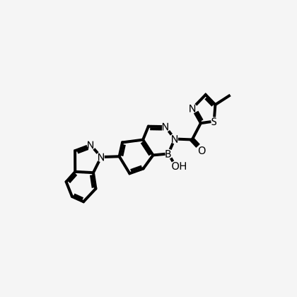 Cc1cnc(C(=O)N2N=Cc3cc(-n4ncc5ccccc54)ccc3B2O)s1